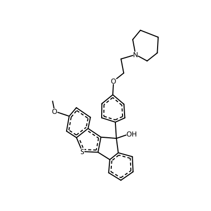 COc1ccc2c3c(sc2c1)-c1ccccc1C3(O)c1ccc(OCCN2CCCCC2)cc1